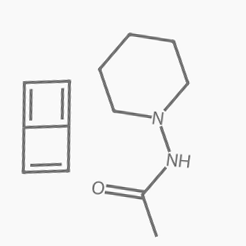 CC(=O)NN1CCCCC1.c1cc2ccc1-2